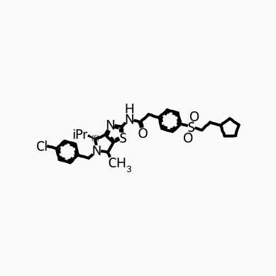 CC(C)[C@H]1c2nc(NC(=O)Cc3ccc(S(=O)(=O)CCC4CCCC4)cc3)sc2C(C)N1Cc1ccc(Cl)cc1